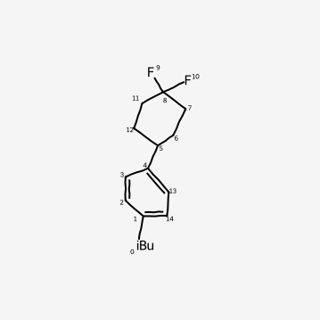 CCC(C)c1ccc(C2CCC(F)(F)CC2)cc1